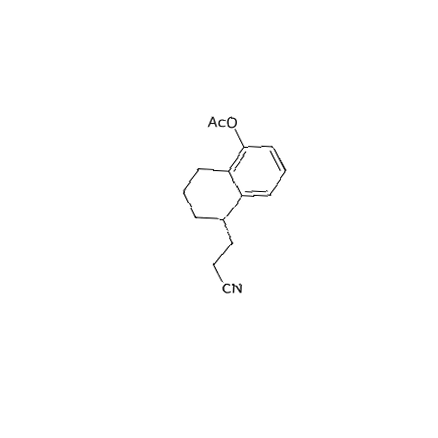 CC(=O)Oc1cccc2c1CCCC2CCC#N